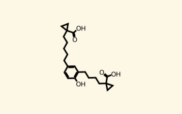 O=C(O)C1(CCCCCc2ccc(O)c(CCCCC3(C(=O)O)CC3)c2)CC1